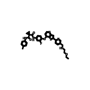 CCOCCNCc1ccc(-c2cc3nccc(Oc4ccc(NC(=O)C5(C(=O)Nc6ccc(C)cc6)CC5)cc4F)c3s2)nc1